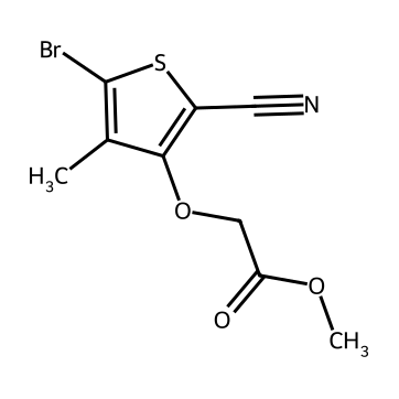 COC(=O)COc1c(C#N)sc(Br)c1C